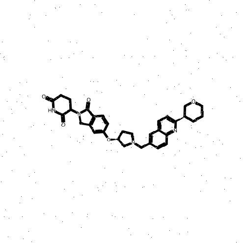 O=C1CCC(N2Cc3cc(O[C@H]4CCN(Cc5ccc6nc([C@@H]7CCCOC7)ccc6c5)C4)ccc3C2=O)C(=O)N1